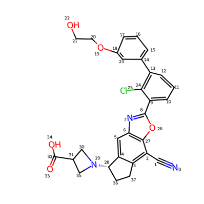 N#Cc1c2c(cc3nc(-c4cccc(-c5cccc(OCCO)c5)c4Cl)oc13)[C@@H](N1CC(C(=O)O)C1)CC2